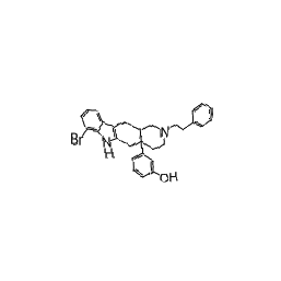 Oc1cccc(C23CCN(CCc4ccccc4)CC2Cc2c([nH]c4c(Br)cccc24)C3)c1